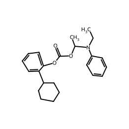 CCN(c1ccccc1)C(C)OC(=O)Oc1ccccc1C1CCCCC1